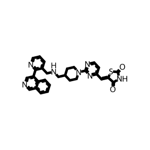 O=C1NC(=O)/C(=C/c2ccnc(N3CCC(CNCc4cccnc4-c4cncc5ccccc45)CC3)n2)S1